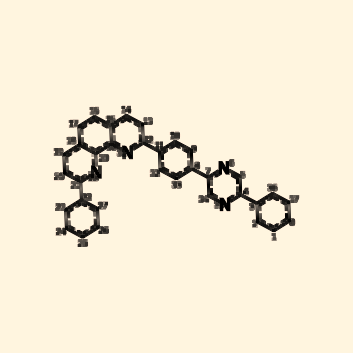 c1ccc(-c2cnc(-c3ccc(-c4ccc5ccc6ccc(-c7ccccc7)nc6c5n4)cc3)cn2)cc1